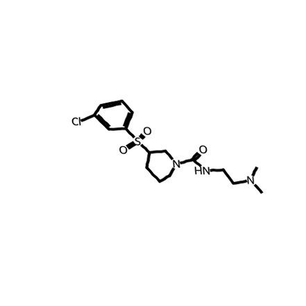 CN(C)CCNC(=O)N1CCCC(S(=O)(=O)c2cccc(Cl)c2)C1